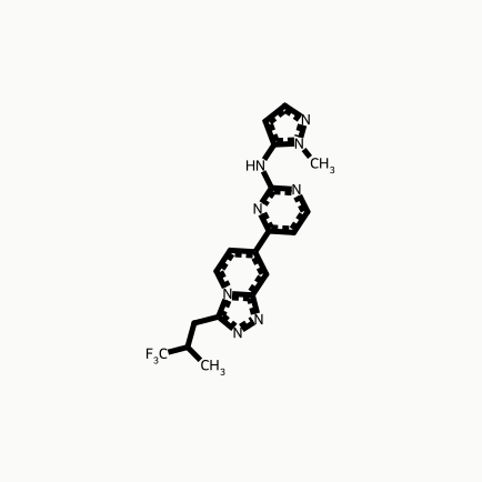 CC(Cc1nnc2cc(-c3ccnc(Nc4ccnn4C)n3)ccn12)C(F)(F)F